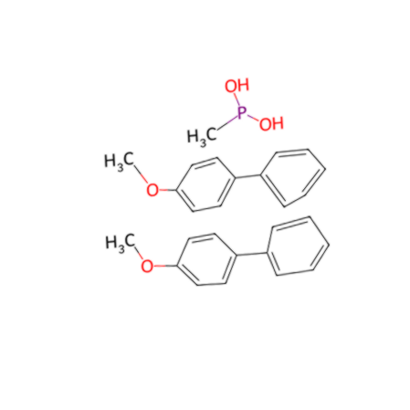 COc1ccc(-c2ccccc2)cc1.COc1ccc(-c2ccccc2)cc1.CP(O)O